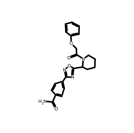 NC(=O)c1ccc(-c2noc(C3CCCCN3C(=O)COc3ccccc3)n2)cc1